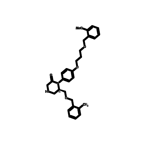 COc1ccccc1COCCCOc1ccc(N2C(=O)CNC[C@@H]2COCc2ccccc2C)cc1